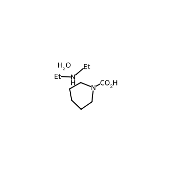 CCNCC.O.O=C(O)N1CCCCC1